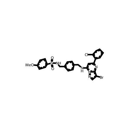 COc1ccc(S(=O)(=O)NCc2ccc(CNc3cc(-c4ccccc4Cl)nc4c(Br)cnn34)cc2)cc1